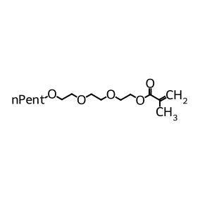 C=C(C)C(=O)OCCOCCOCCOCCCCC